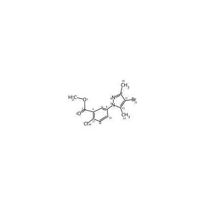 COC(=O)c1cc(-n2nc(C)c(Br)c2C)ccc1Cl